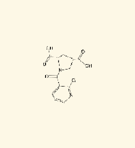 O=C(O)C1C[C@@H](C(=O)O)N(C(=O)c2cccnc2Cl)C1